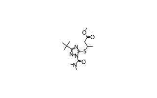 COC(=O)CC(C)Sc1nc(C(C)(C)C)nn1C(=O)N(C)C